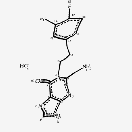 Cl.Nc1nc2[nH]cnc2c(=O)n1CCc1ccc(F)c(F)c1